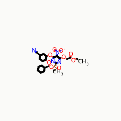 CCOC(=O)COc1nc(S(C)(=O)=O)nc(Oc2cc(C#N)ccc2OCc2ccccc2)c1[N+](=O)[O-]